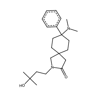 CN(C)C1(c2ccccc2)CCC2(CC1)CC(=O)N(CCC(C)(C)O)C2